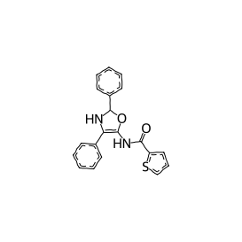 O=C(NC1=C(c2ccccc2)NC(c2ccccc2)O1)c1cccs1